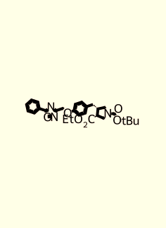 CCOC(=O)[C@H]1CN(C(=O)OC(C)(C)C)C[C@H]1Cc1ccc(OCc2noc(-c3ccccc3)n2)cc1